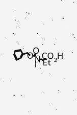 CCC(C(=O)O)N(I)C(=O)OCc1ccccc1